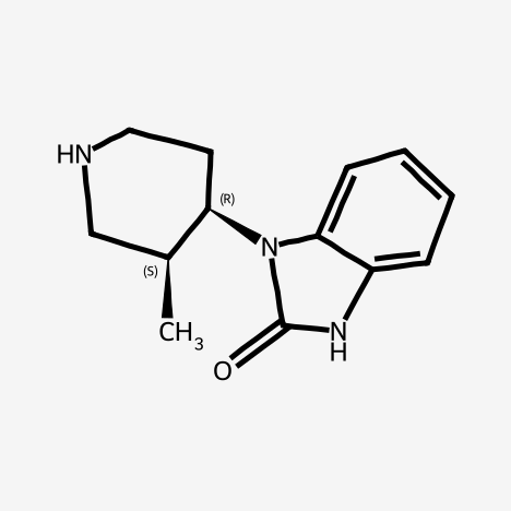 C[C@H]1CNCC[C@H]1n1c(=O)[nH]c2ccccc21